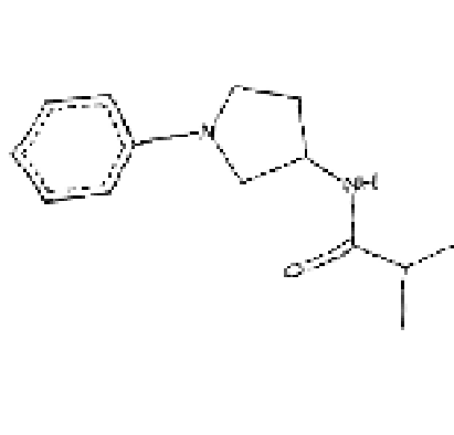 CC(C)C(=O)NC1CCN(c2ccccc2)C1